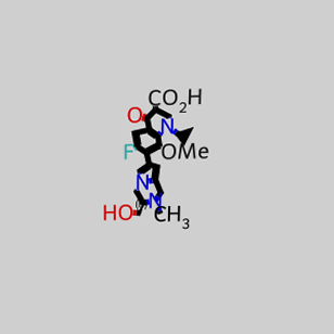 COc1c(-c2cc3n(c2)C[C@H](CO)N(C)C3)c(F)cc2c1N(C1CC1)CC(C(=O)O)C2=O